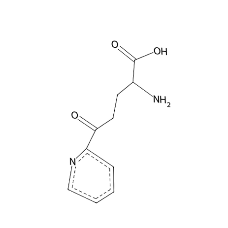 NC(CCC(=O)c1ccccn1)C(=O)O